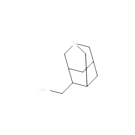 O=CCC1C2CC3CC1CN(C3)C2